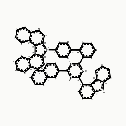 c1ccc(-c2nc(-c3ccc4ccccc4c3)nc(-c3cccc4oc5ccccc5c34)n2)c(-c2ccc(-n3c4ccc5ccccc5c4c4c5ccccc5ccc43)cc2)c1